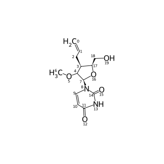 C=CC[C@@H]1C(OC)[C@H](n2ccc(=O)[nH]c2=O)O[C@@H]1CO